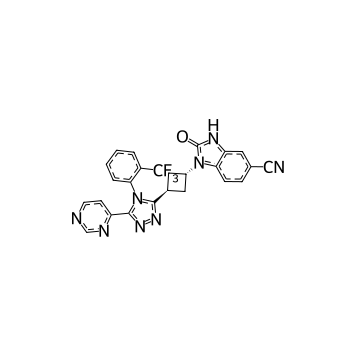 N#Cc1ccc2c(c1)[nH]c(=O)n2[C@H]1C[C@H](c2nnc(-c3ccncn3)n2-c2ccccc2C(F)(F)F)C1